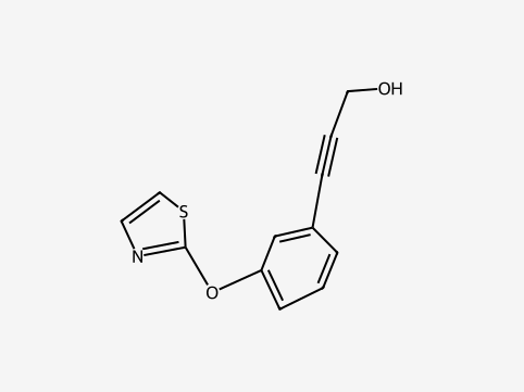 OCC#Cc1cccc(Oc2nccs2)c1